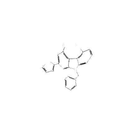 O=Cc1cccc2c1c1c(O)cc(-c3ccco3)cc1n2Cc1ccccc1